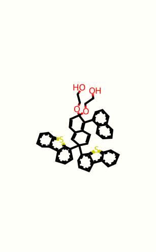 OCCOC1(OCCO)C=CC2=CC(c3cccc4c3sc3ccccc34)(c3cccc4c3sc3ccccc34)C=CC2=C1c1cccc2ccccc12